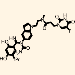 CC(C)c1cc(C(=N)N(C(N)=O)c2ccc3c(ccn3CCN(C)C(=O)CCn3cc(F)c(=O)[nH]c3=O)c2)c(O)cc1O